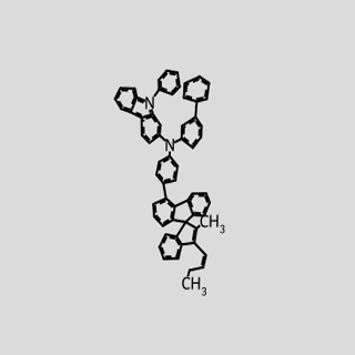 CC/C=C\C1=C(C)C2(c3ccccc31)c1ccccc1-c1c(-c3ccc(N(c4cccc(-c5ccccc5)c4)c4ccc5c6ccccc6n(-c6ccccc6)c5c4)cc3)cccc12